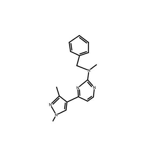 Cc1nn(C)cc1-c1ccnc(N(C)Cc2ccccc2)n1